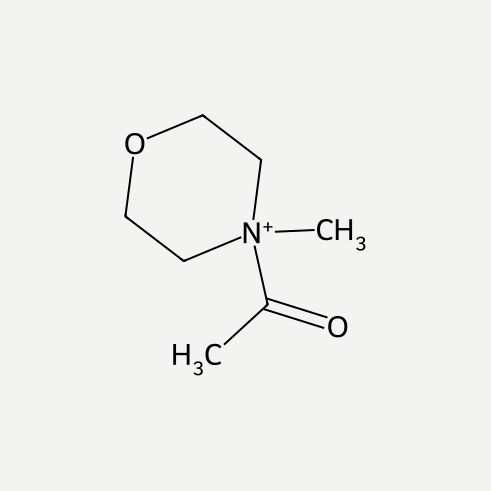 CC(=O)[N+]1(C)CCOCC1